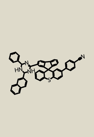 N#Cc1ccc(-c2ccc3c(c2)C2(c4ccccc4S3)c3ccccc3-c3ccc(C4=NC(c5ccccc5)NC(c5ccc6ccccc6c5)N4)cc32)cc1